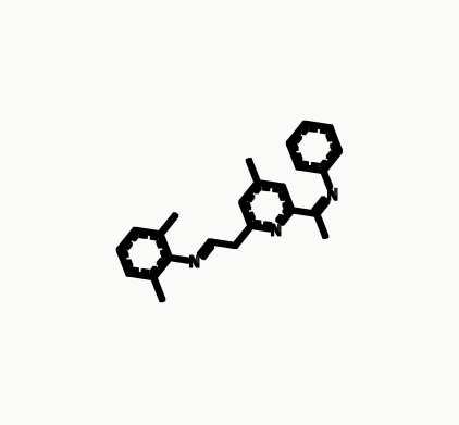 CC(=Nc1ccccc1)c1cc(C)cc(CC=Nc2c(C)cccc2C)n1